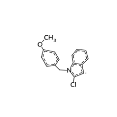 COc1ccc(Cn2c(Cl)[c]c3ccccc32)cc1